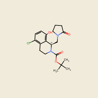 CC(C)(C)OC(=O)N1CCc2c(Cl)ccc(O)c2[C@H]1CN1CCCC1=O